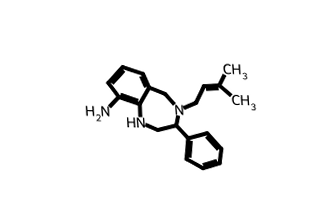 CC(C)=CCN1Cc2cccc(N)c2NCC1c1ccccc1